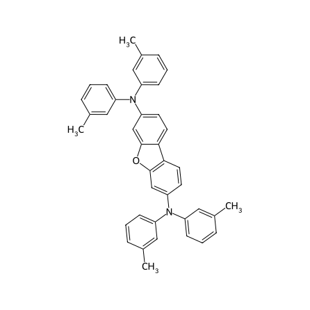 Cc1cccc(N(c2cccc(C)c2)c2ccc3c(c2)oc2cc(N(c4cccc(C)c4)c4cccc(C)c4)ccc23)c1